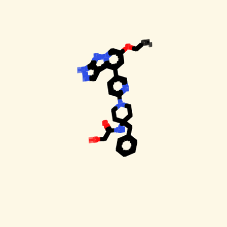 CCOc1cc(-c2ccc(N3CCC(Cc4ccccc4)(NC(=O)CO)CC3)nc2)c2c3cn[nH]c3nn2c1